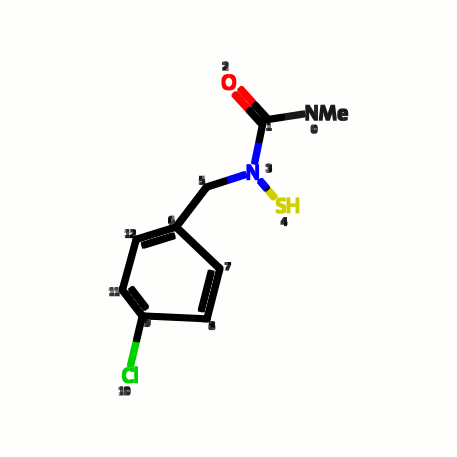 CNC(=O)N(S)Cc1ccc(Cl)cc1